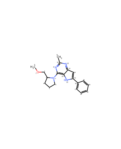 COCC1CCCN1c1nc(C)nc2cc(-c3ccccc3)[nH]c12